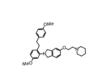 COc1ccc(CCc2ccc(OC)cc2N2Cc3ccc(OCCN4CCCCC4)cc3C2)cc1